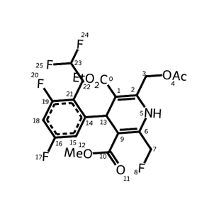 CCOC(=O)C1=C(COC(C)=O)NC(CF)=C(C(=O)OC)C1c1cc(F)cc(F)c1CC(F)F